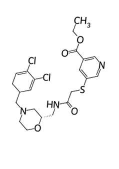 CCOC(=O)c1cncc(SCC(=O)NC[C@H]2CN(CC3C=C(Cl)C(Cl)=CC3)CCO2)c1